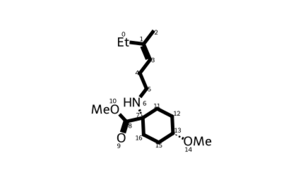 CC/C(C)=C\CCN[C@]1(C(=O)OC)CC[C@H](OC)CC1